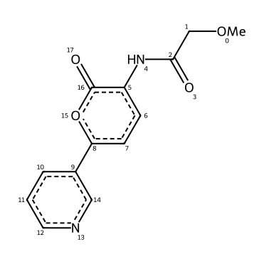 COCC(=O)Nc1ccc(-c2cccnc2)oc1=O